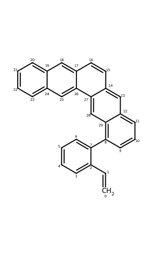 C=Cc1ccccc1-c1cccc2cc3ccc4cc5ccccc5cc4c3cc12